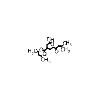 C=C(CCC)OC(=O)C(CCC(=O)C=C(C)C)CC(=O)O